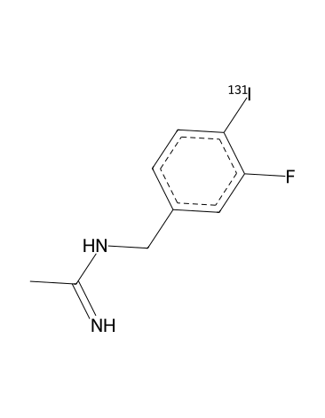 CC(=N)NCc1ccc([131I])c(F)c1